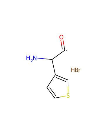 Br.NC([C]=O)c1ccsc1